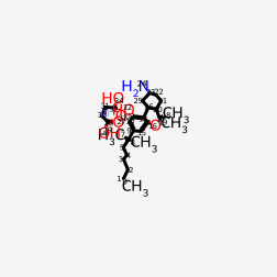 CCCCCCC(C)(C)c1cc(O)c2c(c1)OC(C)(C)C1CCC(N)CC21.O=C(O)/C=C\C(=O)O